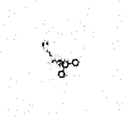 O=C(NCCCn1ccnc1)c1cc2nc(-c3ccccc3)cc(-c3ccccn3)n2n1